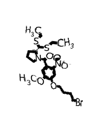 CCSC(SCC)[C@H]1CCCN1C(=O)c1cc(OC)c(OCCCCBr)cc1[N+](=O)[O-]